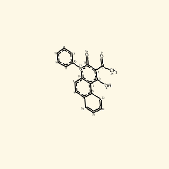 O=C(c1c(O)c2c3c(ccc2n(-c2ccccc2)c1=O)C=C=C=C3)C(F)(F)F